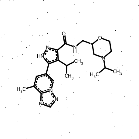 Cc1cc(-c2[nH]nc(C(=O)NCC3CN(C(C)C)CCO3)c2C(C)C)cn2ncnc12